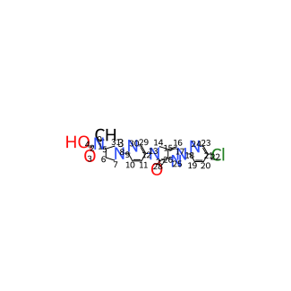 CN(C(=O)O)C1CCN(c2ccc(N3Cc4cn(-c5ccc(Cl)cn5)nc4C3=O)cn2)C1